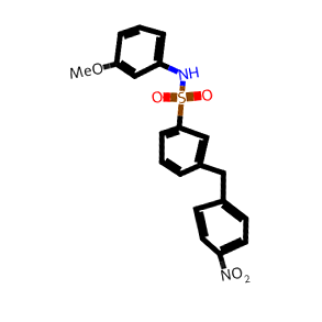 COc1cccc(NS(=O)(=O)c2cccc(Cc3ccc([N+](=O)[O-])cc3)c2)c1